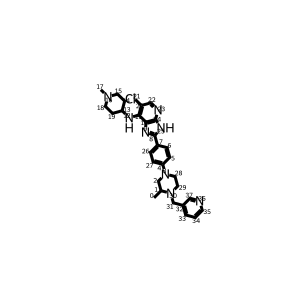 CC1CN(c2ccc(-c3nc4c(NC5CCN(C)CC5)c(Cl)cnc4[nH]3)cc2)CCN1Cc1cccnc1